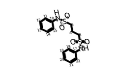 O=S(=O)(CCCS(=O)(=O)Nc1ccccc1)Nc1ccccc1